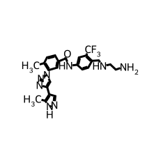 Cc1ccc(C(=O)Nc2ccc(CNCCN)c(C(F)(F)F)c2)cc1-n1cc(-c2cn[nH]c2C)nn1